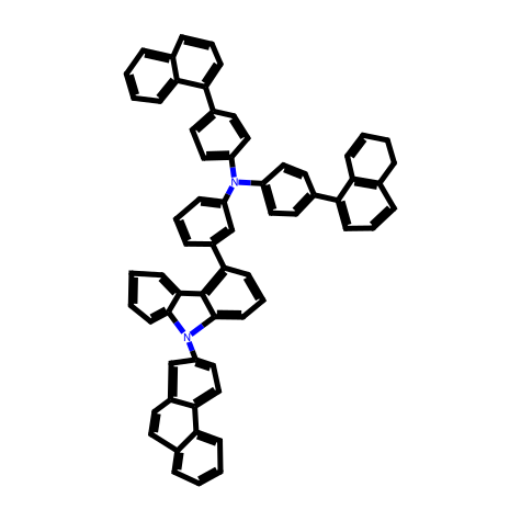 C1=Cc2c(cccc2-c2ccc(N(c3ccc(-c4cccc5ccccc45)cc3)c3cccc(-c4cccc5c4c4ccccc4n5-c4ccc5c(ccc6ccccc65)c4)c3)cc2)CC1